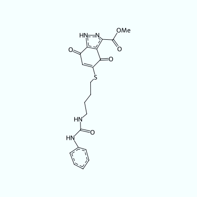 COC(=O)c1n[nH]c2c1C(=O)C(SCCCCNC(=O)Nc1ccccc1)=CC2=O